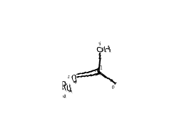 CC(=O)O.[Ru]